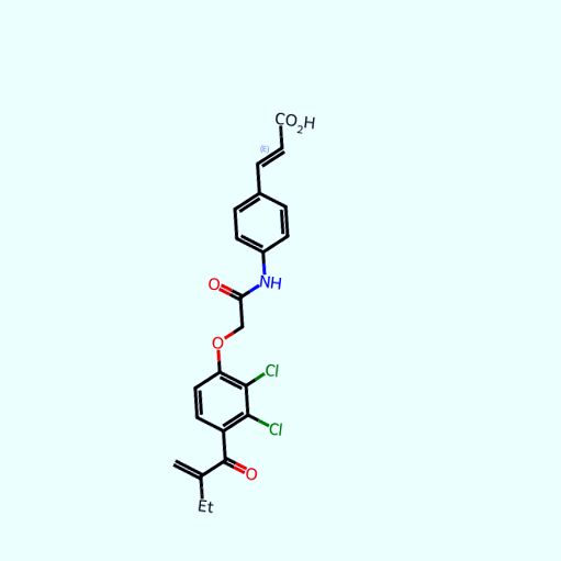 C=C(CC)C(=O)c1ccc(OCC(=O)Nc2ccc(/C=C/C(=O)O)cc2)c(Cl)c1Cl